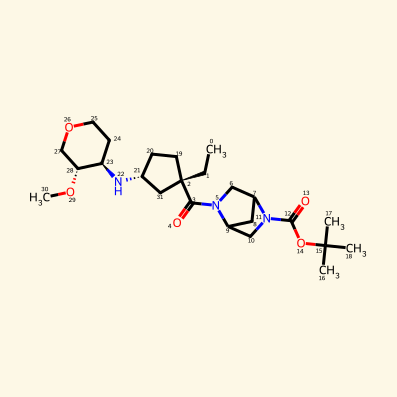 CC[C@]1(C(=O)N2CC3CC2CN3C(=O)OC(C)(C)C)CC[C@@H](N[C@@H]2CCOC[C@H]2OC)C1